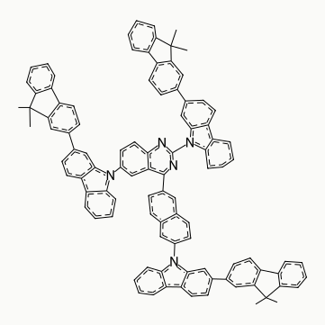 CC1(C)c2ccccc2-c2ccc(-c3ccc4c5ccccc5n(-c5ccc6cc(-c7nc(-n8c9ccccc9c9ccc(-c%10ccc%11c(c%10)C(C)(C)c%10ccccc%10-%11)cc98)nc8ccc(-n9c%10ccccc%10c%10ccc(-c%11ccc%12c(c%11)C(C)(C)c%11ccccc%11-%12)cc%109)cc78)ccc6c5)c4c3)cc21